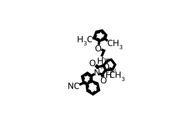 Cc1cccc(C)c1OCC[C@]12CC[C@](C)(O1)[C@@H]1C(=O)N(c3ccc(C#N)c4ccccc34)C(=O)[C@@H]12